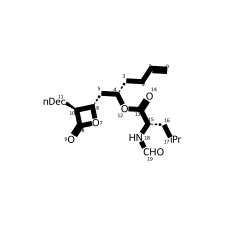 C=CCC[C@@H](C[C@@H]1OC(=O)[C@H]1CCCCCCCCCC)OC(=O)[C@H](CC(C)C)NC=O